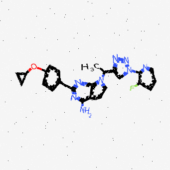 CC(c1cn(-c2ncccc2F)nn1)n1ccc2c(N)nc(-c3ccc(OC4CC4)cc3)nc21